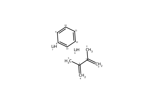 C=C(C)C(=C)C.[LiH].[LiH].c1ccccc1